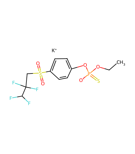 CCOP([O-])(=S)Oc1ccc(S(=O)(=O)CC(F)(F)C(F)F)cc1.[K+]